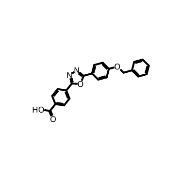 O=C(O)c1ccc(-c2nnc(-c3ccc(OCc4ccccc4)cc3)o2)cc1